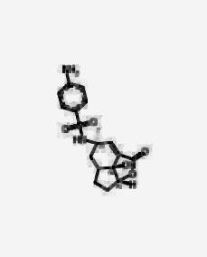 C[C@]1(NS(=O)(=O)c2ccc(N)cc2)C=C2C(=O)O[C@@H]3CCC(C1)[C@]23O